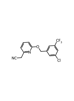 N#CCc1cccc(OCc2cc(Cl)cc(C(F)(F)F)c2)n1